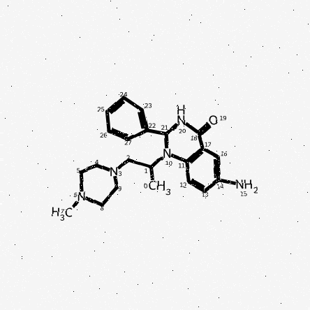 CC(CN1CCN(C)CC1)N1c2ccc(N)cc2C(=O)NC1c1ccccc1